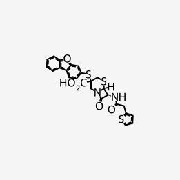 O=C(Cc1cccs1)N[C@@H]1C(=O)N2CC(Sc3ccc4c(c3)oc3ccccc34)(C(=O)O)CS[C@H]12